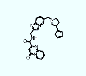 O=C(NCc1cn2cc(CN3CCC(C4=CC=CC4)C3)ccc2n1)c1cc(=O)n2ccccc2n1